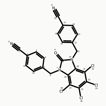 N#Cc1ccc(Cn2c(=O)n(Cc3ccc(C#N)cc3)c3c(Cl)c(Cl)c(Cl)c(Cl)c32)cc1